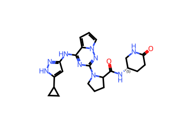 O=C1CC[C@H](NC(=O)C2CCCN2c2nc(Nc3cc(C4CC4)[nH]n3)c3cccn3n2)CN1